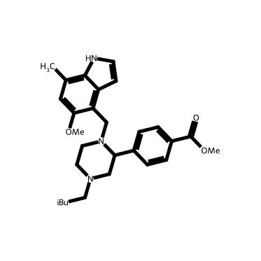 CCC(C)CN1CCN(Cc2c(OC)cc(C)c3[nH]ccc23)C(c2ccc(C(=O)OC)cc2)C1